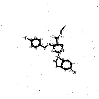 CCOC(=O)c1cnc(N2CCc3cc(Br)ccc32)nc1OCc1ccc(F)cc1